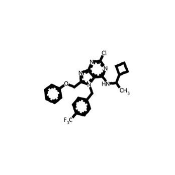 CC(Nc1nc(Cl)nc2nc(COc3ccccc3)n(Cc3ccc(C(F)(F)F)cc3)c12)C1CCC1